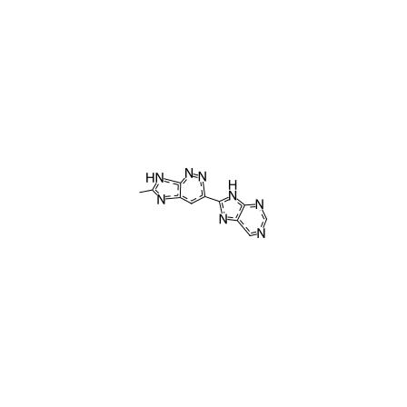 Cc1nc2cc(-c3nc4cncnc4[nH]3)nnc2[nH]1